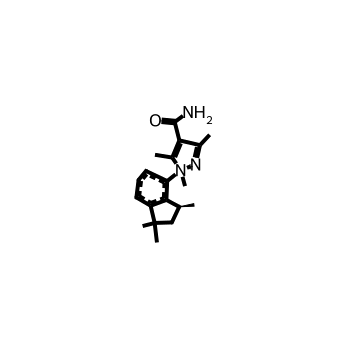 CC1=N[N+](C)(c2cccc3c2[C@@H](C)CC3(C)C)C(C)=C1C(N)=O